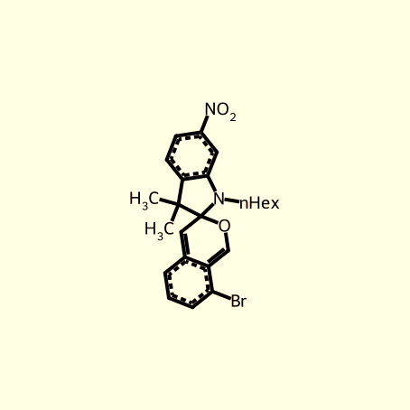 CCCCCCN1c2cc([N+](=O)[O-])ccc2C(C)(C)C12C=c1cccc(Br)c1=CO2